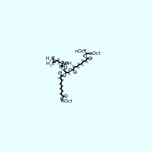 CCCCCCCCOC(=O)CCCCCCCC(=O)OC(COC(=O)CCCCCCC(=O)OC(CCCCCCCC)CCCCCCCC)COP(=O)(O)OCCN(C)C